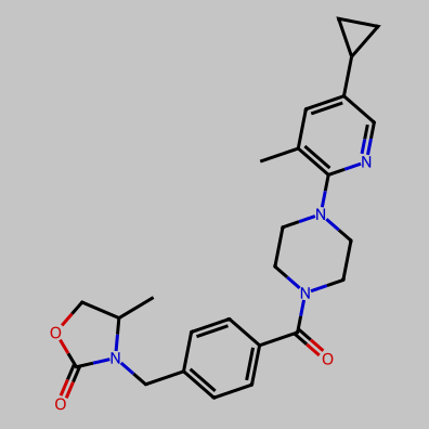 Cc1cc(C2CC2)cnc1N1CCN(C(=O)c2ccc(CN3C(=O)OCC3C)cc2)CC1